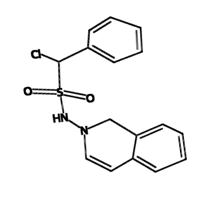 O=S(=O)(NN1C=Cc2ccccc2C1)C(Cl)c1ccccc1